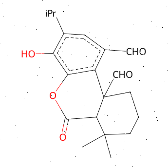 CC(C)c1cc(C=O)c2c(c1O)OC(=O)C1C(C)(C)CCCC21C=O